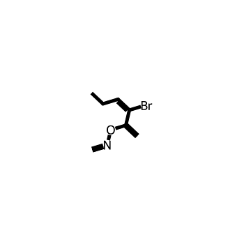 C=NOC(=C)/C(Br)=C\CC